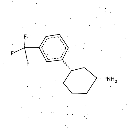 N[C@@H]1CCC[C@H](c2cccc(C(F)(F)F)c2)C1